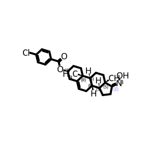 C[C@]12CC[C@H](OC(=O)c3ccc(Cl)cc3)CC1=CC[C@@H]1[C@@H]2CC[C@]2(C)/C(=N\O)CC[C@@H]12